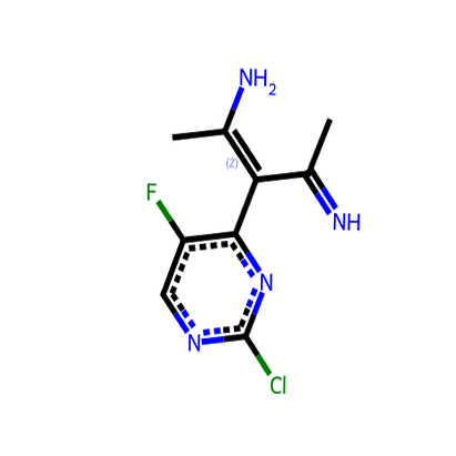 CC(=N)/C(=C(/C)N)c1nc(Cl)ncc1F